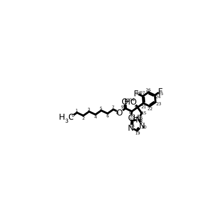 CCCCCCCCOC(=O)C(C)C(O)(Cn1cncn1)c1ccc(F)cc1F